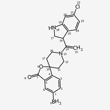 Bc1ccc2c(c1)C(=O)OC21CCN(C(=C)C2CNc3cc(Cl)ccc32)CC1